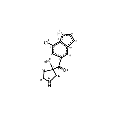 CCCC1(C(=O)c2cc(Cl)c3[nH]ccc3c2)CCNC1